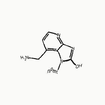 CCCCCn1c(O)nc2nccc(CN)c21